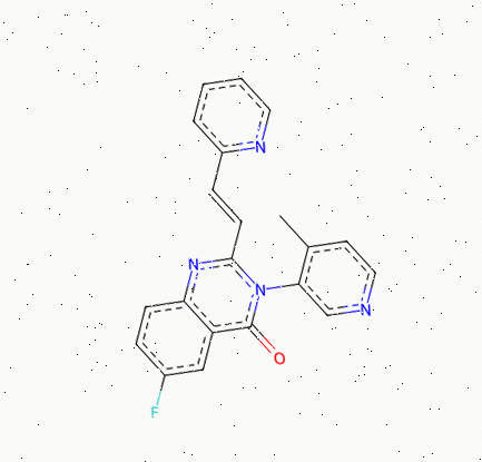 Cc1ccncc1-n1c(/C=C/c2ccccn2)nc2ccc(F)cc2c1=O